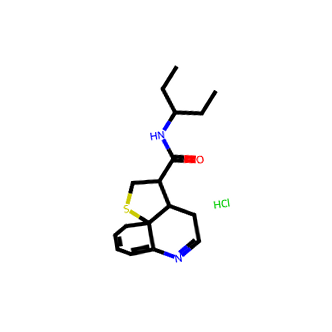 CCC(CC)NC(=O)C1CSC23CC=CC=C2N=CCC13.Cl